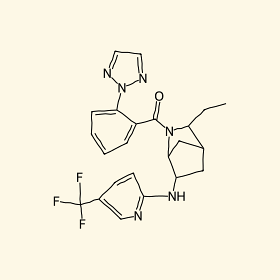 CCC1C2CC(Nc3ccc(C(F)(F)F)cn3)C(C2)N1C(=O)c1ccccc1-n1nccn1